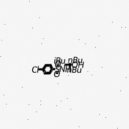 CCCCC(O)(CCCC)[C@@H](NS(=O)(=O)c1ccc(Cl)cc1)[C@@H](C)CC